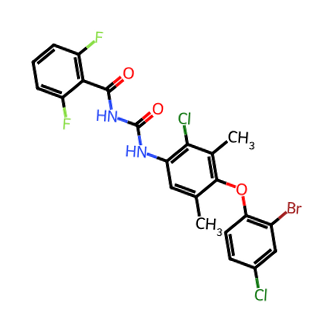 Cc1cc(NC(=O)NC(=O)c2c(F)cccc2F)c(Cl)c(C)c1Oc1ccc(Cl)cc1Br